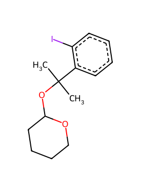 CC(C)(OC1CCCCO1)c1ccccc1I